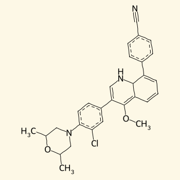 COC1=C2C=CC=C(c3ccc(C#N)cc3)C2NC=C1c1ccc(N2CC(C)OC(C)C2)c(Cl)c1